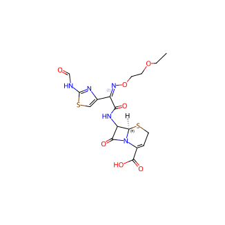 CCOCCO/N=C(\C(=O)NC1C(=O)N2C(C(=O)O)=CCS[C@H]12)c1csc(NC=O)n1